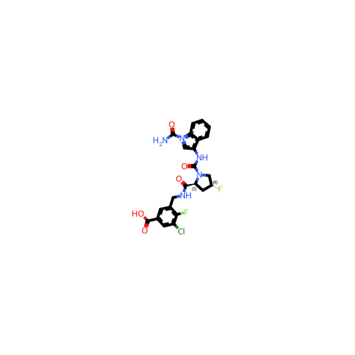 NC(=O)n1cc(NC(=O)N2C[C@H](F)C[C@H]2C(=O)NCc2cc(C(=O)O)cc(Cl)c2F)c2ccccc21